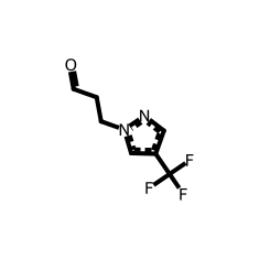 O=CCCn1cc(C(F)(F)F)cn1